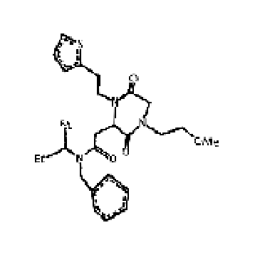 CCC(CC)N(Cc1ccccc1)C(=O)CC1C(=O)N(CCOC)CC(=O)N1CCc1cccs1